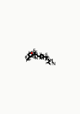 CC(C)C(=NC#N)N1CC(F)(c2ccc(C3=NOC(c4cccc(C(F)(F)F)c4)(C(F)(F)F)C3)cn2)C1